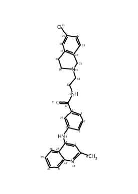 Cc1cc(Nc2cccc(C(=O)NCCN3CCc4cc(Cl)ccc4C3)c2)c2ccccc2n1